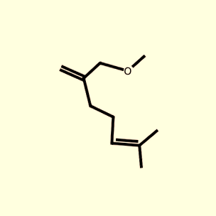 C=C(CCC=C(C)C)COC